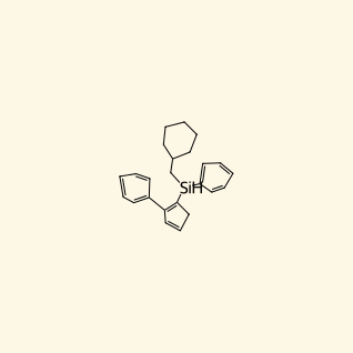 C1=CC(c2ccccc2)=C([SiH](CC2CCCCC2)c2ccccc2)C1